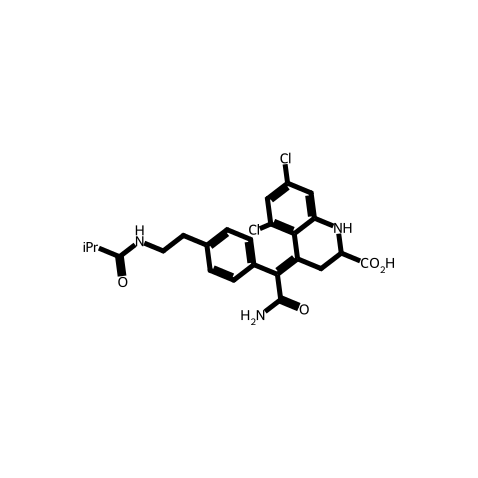 CC(C)C(=O)NCCc1ccc(/C(C(N)=O)=C2/CC(C(=O)O)Nc3cc(Cl)cc(Cl)c32)cc1